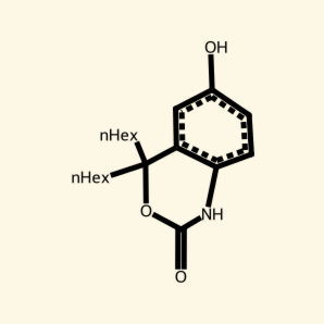 CCCCCCC1(CCCCCC)OC(=O)Nc2ccc(O)cc21